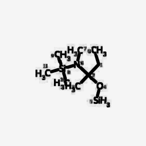 CCC(C)(O[SiH3])N(C)[Si](C)(C)C